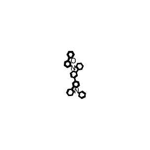 C1=CCC(n2c3c(c4cc(C5=CC6C7=C(CCCC7)N(c7cccc8c7oc7ccccc78)C6C=C5)ccc42)C=CCC3)C=C1